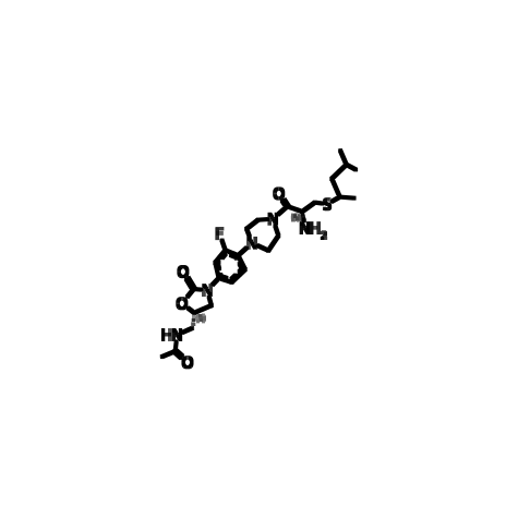 CC(=O)NC[C@H]1CN(c2ccc(N3CCN(C(=O)[C@H](N)CSC(C)CC(C)C)CC3)c(F)c2)C(=O)O1